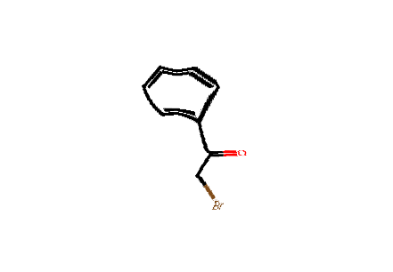 O=C(CBr)C1=CC=C=C=C1